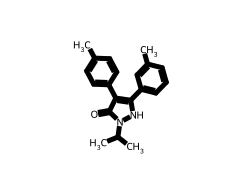 Cc1ccc(-c2c(-c3cccc(C)c3)[nH]n(C(C)C)c2=O)cc1